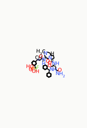 C/C(=C\C(=O)N[C@H]1CN(C)CC[C@H]2CC[C@@H](C(=O)N[C@@H](CCC(N)=O)C(=O)NC(c3ccccc3)c3ccccc3)N2C1=O)c1cccc(C(F)(F)P(=O)(O)O)c1